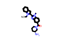 Cn1c(-c2cc3ccccc3n2CC#N)nc2cc(C(=O)N3CCC[C@@H](N)C3)ccc21